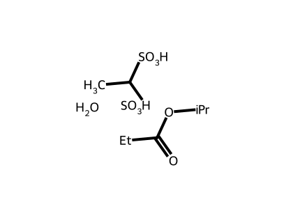 CC(S(=O)(=O)O)S(=O)(=O)O.CCC(=O)OC(C)C.O